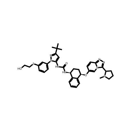 CN1CCCC1c1nnc2ccc(O[C@@H]3CC[C@H](NC(=O)Nc4cc(C(C)(C)C)nn4-c4cccc(SCCO)c4)c4ccccc43)cn12